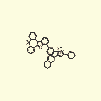 CC1(C)c2ccccc2-c2oc3c(-c4cccc([C@]5(N)C=C(C6=CCCC=C6)C=C5C5=CC=C6C=CCCC6C5)c4)cccc3c2C2C=CC=CC21